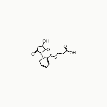 O=C(O)CCSSC1=CC=CCN1N1C(=O)CC(O)C1=O